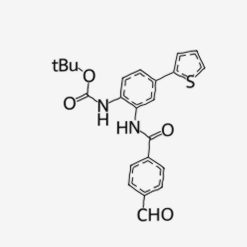 CC(C)(C)OC(=O)Nc1ccc(-c2cccs2)cc1NC(=O)c1ccc(C=O)cc1